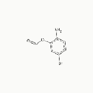 Nc1ccc(Br)cc1OC=O